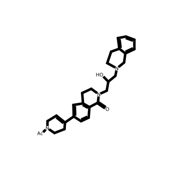 CC(=O)N1CC=C(c2ccc3c(c2)CCN(CC(O)CN2CCc4ccccc4C2)C3=O)CC1